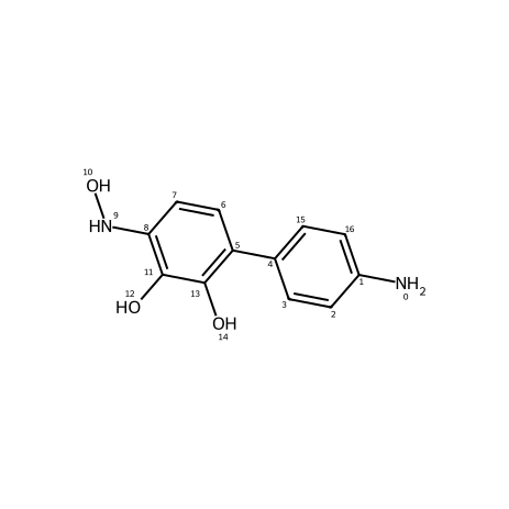 Nc1ccc(-c2ccc(NO)c(O)c2O)cc1